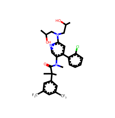 CC(O)CN(CC(C)O)c1cc(-c2ccccc2Cl)c(N(C)C(=O)C(C)(C)c2cc(C(F)(F)F)cc(C(F)(F)F)c2)cn1